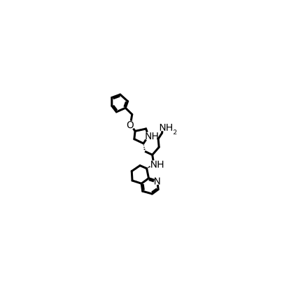 NCCCC(C[C@@H]1CC(OCc2ccccc2)CN1)N[C@H]1CCCc2cccnc21